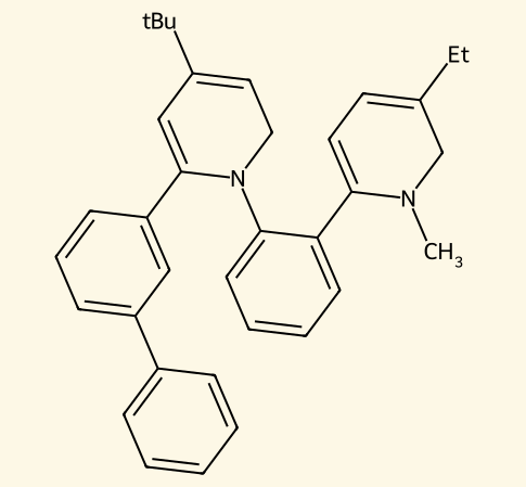 CCC1=CC=C(c2ccccc2N2CC=C(C(C)(C)C)C=C2c2cccc(-c3ccccc3)c2)N(C)C1